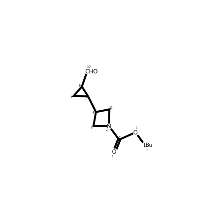 CC(C)(C)OC(=O)N1CC(C2CC2C=O)C1